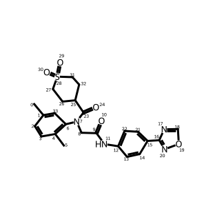 Cc1ccc(C)c(N(CC(=O)Nc2ccc(-c3ncon3)cc2)C(=O)C2CCS(=O)(=O)CC2)c1